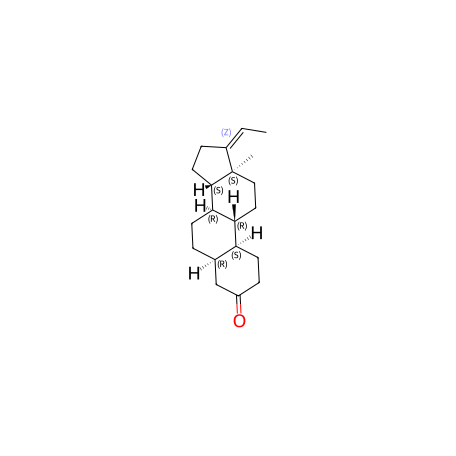 C/C=C1/CC[C@H]2[C@@H]3CC[C@@H]4CC(=O)CC[C@@H]4[C@H]3CC[C@]12C